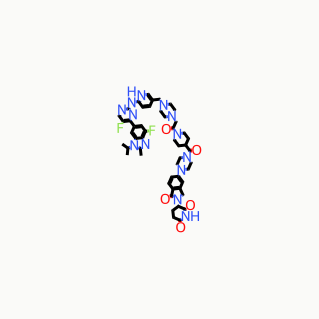 Cc1nc2c(F)cc(-c3nc(Nc4ccc(CN5CCN(CC(=O)N6CCC(C(=O)N7CCN(c8ccc9c(c8)CN([C@H]8CCC(=O)NC8=O)C9=O)CC7)CC6)CC5)cn4)ncc3F)cc2n1C(C)C